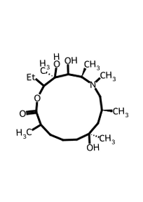 CCC1OC(=O)C(C)CCC[C@](C)(O)C[C@H](C)CN(C)[C@H](C)C(O)[C@]1(C)O